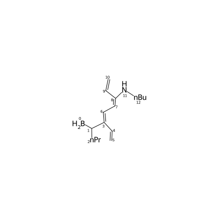 BC(CCC)/C(C=C)=C/C=C(\C=C)NCCCC